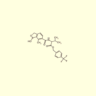 Cc1c(C(=O)NC(C(=O)OCc2ccc(C(F)(F)F)cc2)C(C)C)ccc2c1B(O)OC2